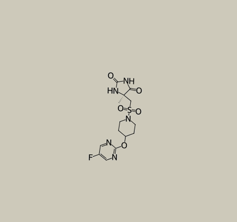 C[C@]1(CS(=O)(=O)N2CCC(Oc3ncc(F)cn3)CC2)NC(=O)NC1=O